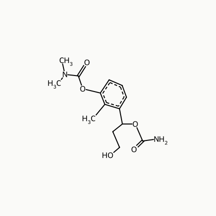 Cc1c(OC(=O)N(C)C)cccc1C(CCO)OC(N)=O